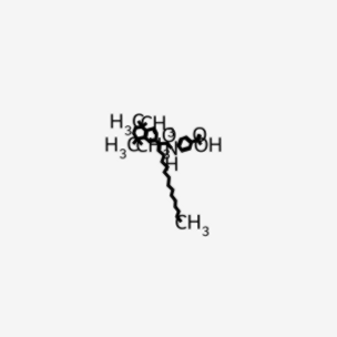 CCCCCCCCCCCCCC=C(C(=O)Nc1ccc(C(=O)O)cc1)c1ccc2c(c1)C(C)(C)CCC2(C)C